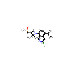 CC(C)c1ccc(N2CC(C[S@@+](C)[O-])C2(C)C)c2cnc(Cl)cc12